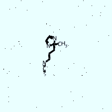 CC1(CCCN=C=S)N=CC=N1